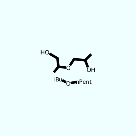 CC(O)COC(C)CO.CCCCCOC(C)CC